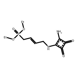 CCOP(=O)(C/C=C/CNc1c(N)c(=O)c1=O)OCC